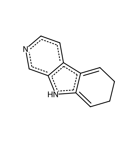 C1=c2[nH]c3cnccc3c2=CCC1